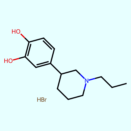 Br.CCCN1CCCC(c2ccc(O)c(O)c2)C1